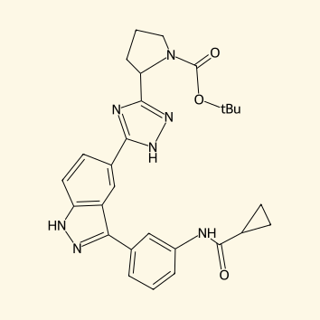 CC(C)(C)OC(=O)N1CCCC1c1n[nH]c(-c2ccc3[nH]nc(-c4cccc(NC(=O)C5CC5)c4)c3c2)n1